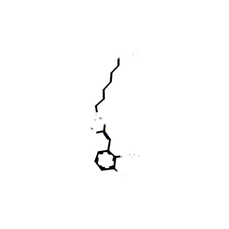 COc1c(Br)cccc1/C=C1/ON(CCCCCCC(=O)O)OS1